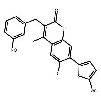 CC(=O)c1ccc(-c2cc3oc(=O)c(Cc4cccc(N=O)c4)c(C)c3cc2Cl)s1